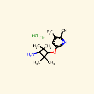 CC1(C)C(N)C(C)(C)C1Oc1cnc(C#N)c(C(F)(F)F)c1.Cl.Cl